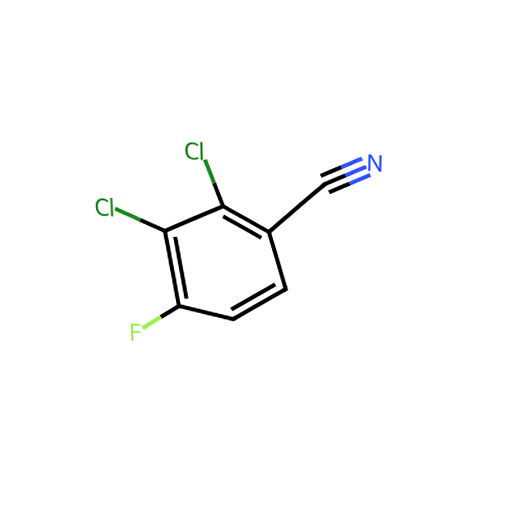 N#Cc1ccc(F)c(Cl)c1Cl